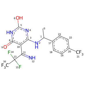 CC(Nc1nc(O)[nH]c(=O)c1C(=N)C(F)(F)C(F)(F)F)c1ccc(C(F)(F)F)cc1